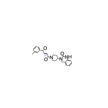 Cc1cccc(C(=O)/C=C/C(=O)N2CCC(N3Cc4ccccc4NC3=O)CC2)c1